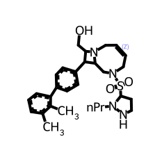 CCCN1NCCC1S(=O)(=O)N1C/C=C\CN2C(CO)C(c3ccc(-c4cccc(C)c4C)cc3)C2C1